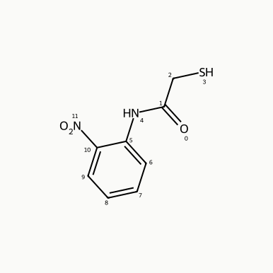 O=C(CS)Nc1ccccc1[N+](=O)[O-]